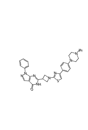 CC(C)N1CCN(c2ccc(-c3csc(N4CC(c5nc6c(cnn6-c6ccccc6)c(=O)[nH]5)C4)n3)cc2)CC1